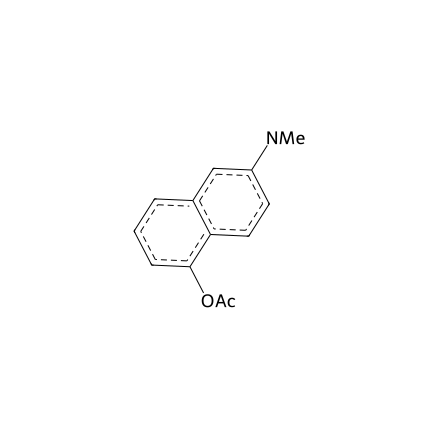 CNc1ccc2c(OC(C)=O)cccc2c1